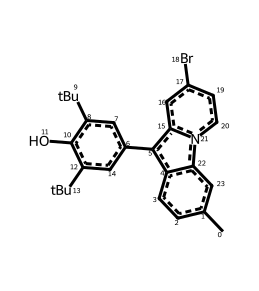 Cc1ccc2c(-c3cc(C(C)(C)C)c(O)c(C(C)(C)C)c3)c3cc(Br)ccn3c2c1